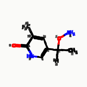 [2H]C(C)(ON)c1c[nH]c(=O)c(C(F)(F)F)c1